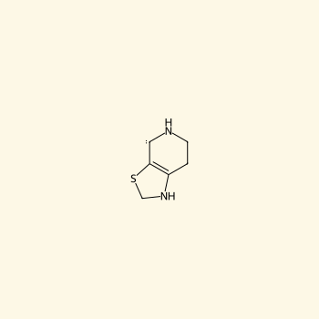 [C]1NCCC2=C1SCN2